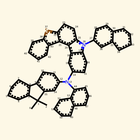 CC1(C)c2ccccc2-c2ccc(N(c3ccc4c(c3)c3c5c(ccc3n4-c3ccc4ccccc4c3)sc3ccccc35)c3cccc4ccccc34)cc21